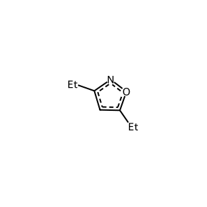 CCc1cc(CC)on1